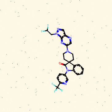 O=C1N(c2ccc(C(F)(F)F)nc2)c2ccccc2C12CCN(c1cnc3cnn(CC(F)F)c3n1)CC2